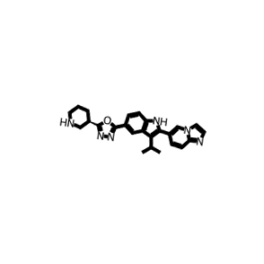 CC(C)c1c(-c2ccc3nccn3c2)[nH]c2ccc(-c3nnc([C@@H]4CCCNC4)o3)cc12